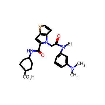 CCN(C(=O)Cn1c(C(=O)NC2CCC(C(=O)O)CC2)cc2sccc21)c1cccc(N(C)C)c1